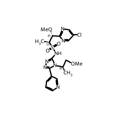 COC[C@@H](C)n1c(NS(=O)(=O)[C@@H](C)[C@H](OC)c2ncc(Cl)cn2)nnc1-c1cccnc1